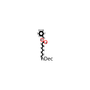 CCCCCCCCCCCCCCCC=CC(=O)OCc1ccccc1